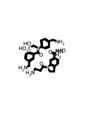 Cl.Cl.Cl.NCCC(=O)N1CCc2ccc(C(N)=O)cc21.NCc1ccc(N(CC(=O)O)C(=O)c2cccc(CN)c2)cc1